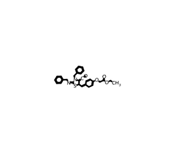 CCOC(=O)COC1=CCC(=CC2SC(=NCc3ccccc3)N(Cc3ccccc3)C2=C=O)C=C1